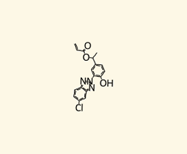 C=CC(=O)OC(C)c1ccc(O)c(-n2nc3ccc(Cl)cc3n2)c1